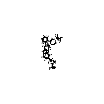 CN(C)C(=O)N1CCN(C(=O)N(Cc2cn3ccc(-c4nnc(C(F)F)o4)cc3n2)c2ccccc2)CC1